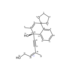 CC1=CC2(OCCO2)c2ccccc2[C@]1(O)C#C/C(C)=C\CO